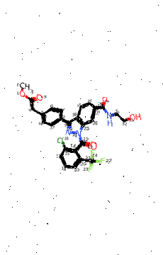 COC(=O)Cc1ccc(-c2nn(C(=O)c3c(Cl)cccc3C(F)(F)F)c3cc(C(=O)NCCO)ccc23)cc1